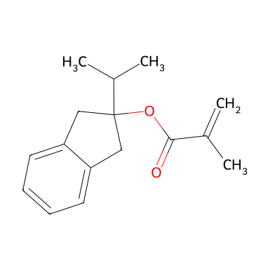 C=C(C)C(=O)OC1(C(C)C)Cc2ccccc2C1